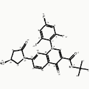 CC(C)(C)NC(=O)c1cn(-c2c(F)cc(F)cc2F)c2nc(N3C[C@@H](O)CC3=O)ccc2c1=O